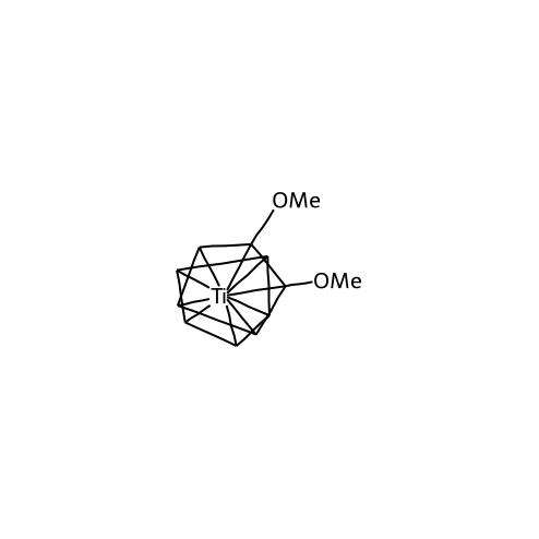 CO[C]12[CH]3[CH]4[CH]5[C]1(OC)[Ti]43521678[CH]2[CH]1[CH]6[CH]7[CH]28